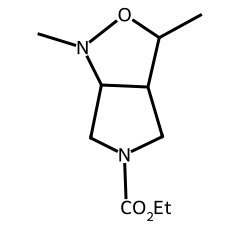 CCOC(=O)N1CC2C(C)ON(C)C2C1